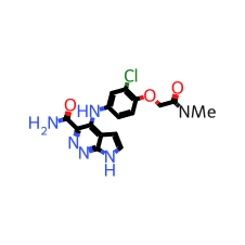 CNC(=O)COc1ccc(Nc2c(C(N)=O)nnc3[nH]ccc23)cc1Cl